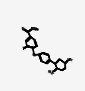 CCCC1CCC(C)C(c2ccc(Oc3ccc(C(=O)OC)cc3F)cc2)C1